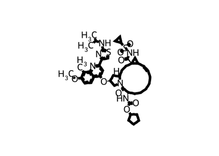 COc1ccc2c(O[C@@H]3C[C@H]4CC[C@]5(C(=O)NS(=O)(=O)C6CC6)CC5/C=C\CCCCC[C@H](NC(=O)OC5CCCC5)C(=O)N4C3)cc(-c3csc(NC(C)C)n3)nc2c1C